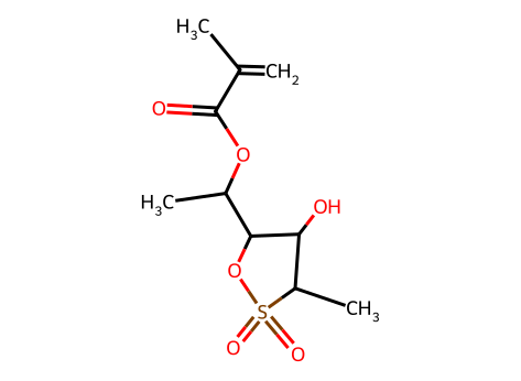 C=C(C)C(=O)OC(C)C1OS(=O)(=O)C(C)C1O